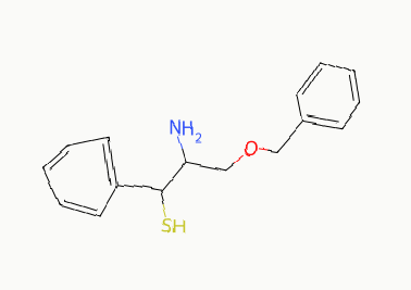 NC(COCc1ccccc1)C(S)c1ccccc1